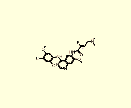 COc1cc(Nc2ncnc3cc(OC)c(NC(=O)/C(F)=C/CN(C)C)cc23)c(Cl)cc1Cl